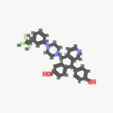 Oc1ccc(C(c2ccc(O)cc2)c2cnccc2CN2CCN(c3cccc(C(F)(F)F)c3)CC2)cc1